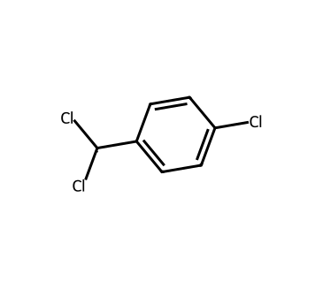 Cl[C](Cl)c1ccc(Cl)cc1